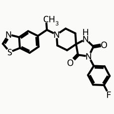 CC(c1ccc2scnc2c1)N1CCC2(CC1)NC(=O)N(c1ccc(F)cc1)C2=O